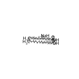 CCCCCCCCCCCCCCCCCC(=O)O.CCCCCCCCCCCCCCCCCC(=O)O.[NaH]